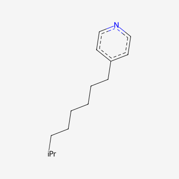 CC(C)CCCCCCc1ccncc1